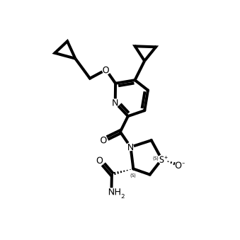 NC(=O)[C@H]1C[S@@+]([O-])CN1C(=O)c1ccc(C2CC2)c(OCC2CC2)n1